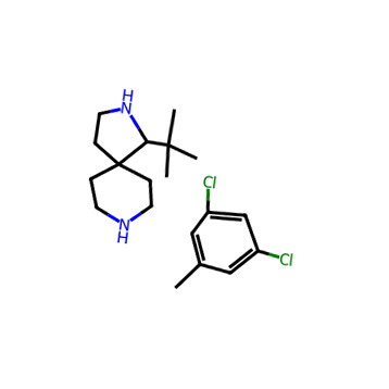 CC(C)(C)C1NCCC12CCNCC2.Cc1cc(Cl)cc(Cl)c1